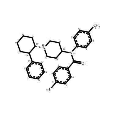 Cc1ccc(N(C(=O)c2ccc(F)cc2)C2CCN([C@H]3CCCCC3c3ccccc3)CC2)cc1